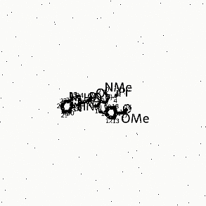 CNC(=O)[C@H](CC(C)C)C[C@H](O)[C@H](Cc1ccc(C(=O)OC)cc1)NC(=O)c1cnc2ccccc2n1